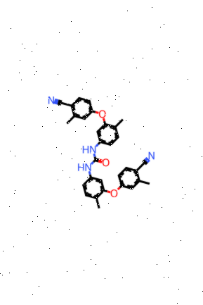 Cc1cc(Oc2cc(NC(=O)Nc3ccc(C)c(Oc4ccc(C#N)c(C)c4)c3)ccc2C)ccc1C#N